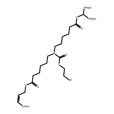 CCCCCC/C=C\COC(=O)CCCCCN(CCCCCC(=O)OC(CCCCCCC)CCCCCCC)C(=O)SCCC(C)C